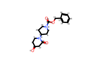 O=C1CCN(C2CCN(C(=O)OCc3ccccc3)CC2)C(=O)C1